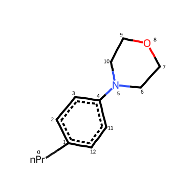 [CH2]CCc1ccc(N2CCOCC2)cc1